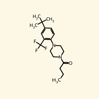 CCCC(=O)N1CCN(c2ccc(C(C)(C)C)cc2C(F)(F)F)CC1